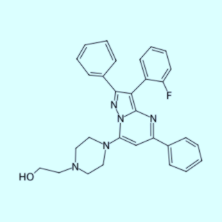 OCCN1CCN(c2cc(-c3ccccc3)nc3c(-c4ccccc4F)c(-c4ccccc4)nn23)CC1